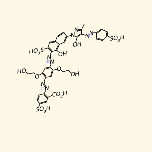 Cc1nn(-c2ccc3cc(S(=O)(=O)O)c(/N=N/c4cc(OCCO)c(/N=N/c5ccc(S(=O)(=O)O)cc5C(=O)O)cc4OCCO)c(O)c3c2)c(O)c1/N=N/c1ccc(S(=O)(=O)O)cc1